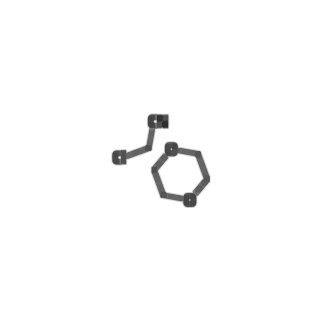 C1COCCO1.N#CCCl